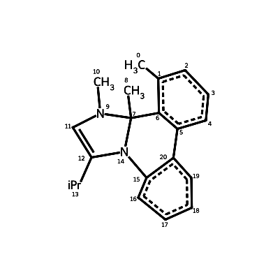 Cc1cccc2c1C1(C)N(C)C=C(C(C)C)N1c1ccccc1-2